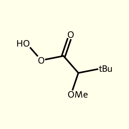 COC(C(=O)OO)C(C)(C)C